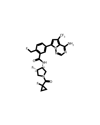 Nc1ncnn2c(-c3ccc(CF)c(C(=O)N[C@@H]4CN(C(=O)C5(F)CC5)C[C@@H]4F)c3)cc(C(F)(F)F)c12